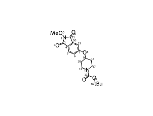 CON1C(=O)c2ccc(OC3CCN(C(=O)OC(C)(C)C)CC3)cc2C1=O